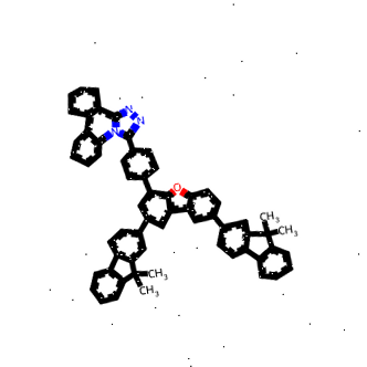 CC1(C)c2ccccc2-c2ccc(-c3ccc4oc5c(-c6ccc(-c7nnc8c9ccccc9c9ccccc9n78)cc6)cc(-c6ccc7c(c6)C(C)(C)c6ccccc6-7)cc5c4c3)cc21